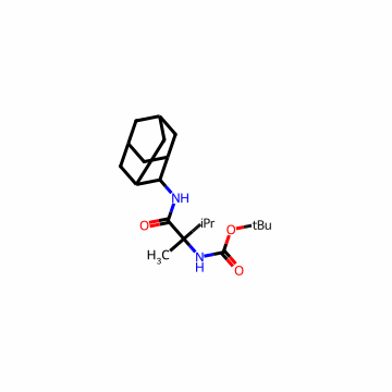 CC(C)C(C)(NC(=O)OC(C)(C)C)C(=O)NC1C2CC3CC(C2)CC1C3